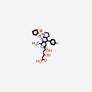 CC(C)c1nc2c(c(-c3ccc(F)cc3)c1C=C[C@@H](O)C[C@@H](O)CC(=O)O)CCCN2S(=O)(=O)c1ccccc1